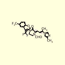 C/C(=C\C=C1\C(=O)N(CC23c4cc(C(F)(F)F)ccc4OCC2C3(F)F)CCN1C=O)n1cnc(C)c1